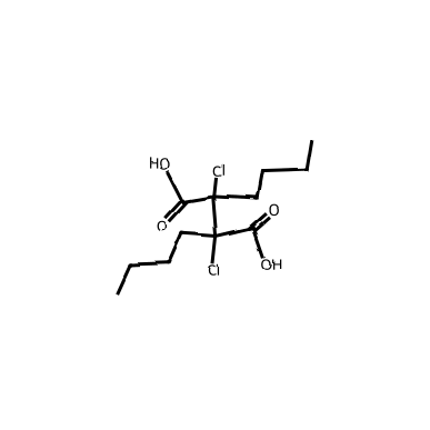 CCCCC(Cl)(C(=O)O)C(Cl)(CCCC)C(=O)O